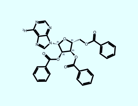 [2H]c1ncnc2c1ncn2[C@@H]1O[C@H](COC(=O)c2ccccc2)[C@@H](OC(=O)c2ccccc2)[C@H]1OC(=O)c1ccccc1